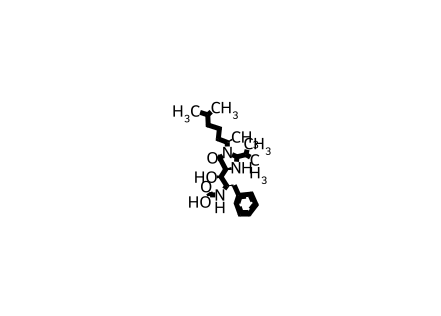 CC(C)CCC[C@H](C)N1C(=O)[C@H]([C@H](O)[C@H](Cc2ccccc2)NC(=O)O)NC1C(C)C